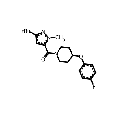 Cn1nc(C(C)(C)C)cc1C(=O)N1CCC(Oc2ccc(F)cc2)CC1